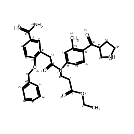 CCOC(=O)CCN(C(=O)Cc1cc(C(=N)N)ccc1OCc1ccccc1)c1ccc(C(=O)C2CCNC2)c(C)c1